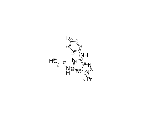 CC(C)n1cnc2c(Nc3ccc(F)cc3)nc(NCCO)nc21